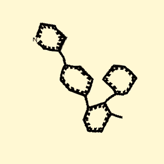 Cc1cccc(-c2ccc(-c3cccnc3)cc2)c1-c1ccccc1